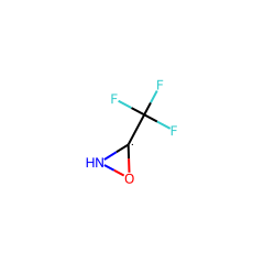 FC(F)(F)[C]1NO1